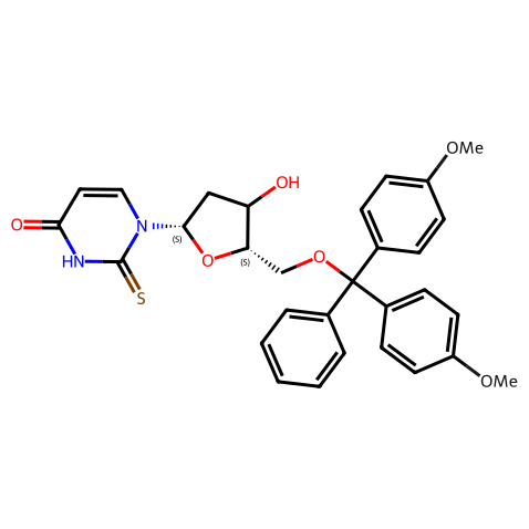 COc1ccc(C(OC[C@@H]2O[C@H](n3ccc(=O)[nH]c3=S)CC2O)(c2ccccc2)c2ccc(OC)cc2)cc1